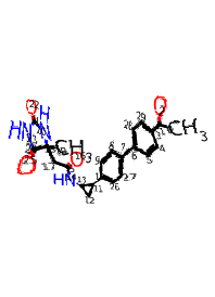 CC(=O)c1ccc(-c2ccc([C@H]3C[C@@H]3NC(=O)CC3(C)NC(=O)NC3=O)cc2)cc1